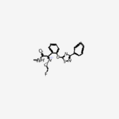 CNC(=O)/C(=N\OCF)c1ccccc1Oc1nc(-c2ccccc2)ns1